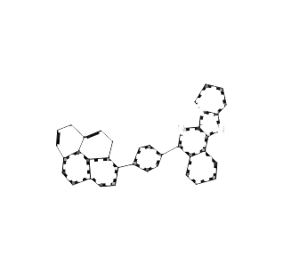 C1=Cc2ccc3ccc(-c4ccc(-c5nc6c(nc7ccccn76)c6ccccc56)cc4)c4c3c2C(=CC4)C1